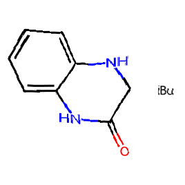 CC[C@H](C)C1Nc2ccccc2NC1=O